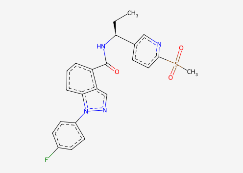 CC[C@H](NC(=O)c1cccc2c1cnn2-c1ccc(F)cc1)c1ccc(S(C)(=O)=O)nc1